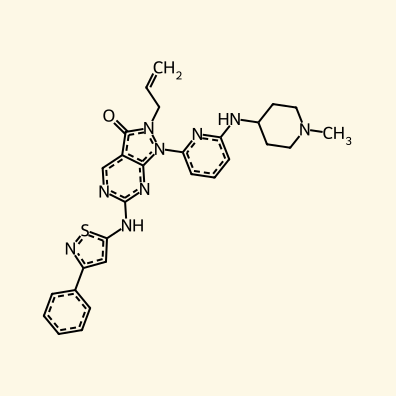 C=CCn1c(=O)c2cnc(Nc3cc(-c4ccccc4)ns3)nc2n1-c1cccc(NC2CCN(C)CC2)n1